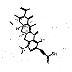 C=C(S)C#Cc1cc(N(C)C)c2c(c1Cl)C(=C)C1=C(C)[C@]3(C)C(=C)C(C(=C)C)=C(C)[C@@H](CC)[C@@H]3C[C@@H]1C2